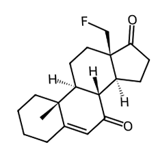 C[C@]12CCCCC1=CC(=O)[C@H]1[C@@H]3CCC(=O)[C@@]3(CF)CC[C@@H]12